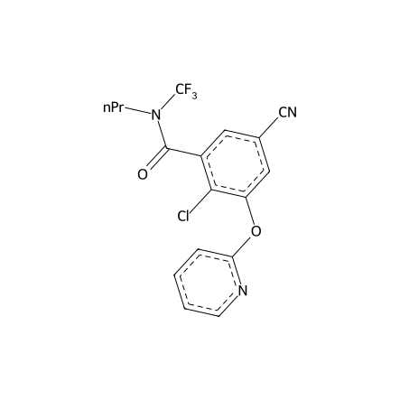 CCCN(C(=O)c1cc(C#N)cc(Oc2ccccn2)c1Cl)C(F)(F)F